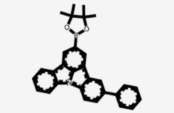 CC1(C)OB(c2cc3c4ccccc4n4c5ccc(-c6ccccc6)cc5c(c2)c34)OC1(C)C